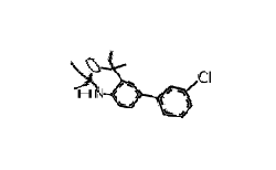 CC1(C)Nc2ccc(-c3cccc(Cl)c3)cc2C(C)(C)O1